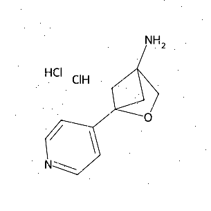 Cl.Cl.NC12COC(c3ccncc3)(C1)C2